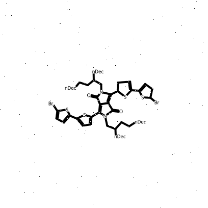 CCCCCCCCCCCCC(CCCCCCCCCC)CN1C(=O)C2=C(C3CC=C(C4=CCC(Br)S4)S3)N(CC(CCCCCCCCCC)CCCCCCCCCCCC)C(=O)C2=C1c1ccc(-c2ccc(Br)s2)s1